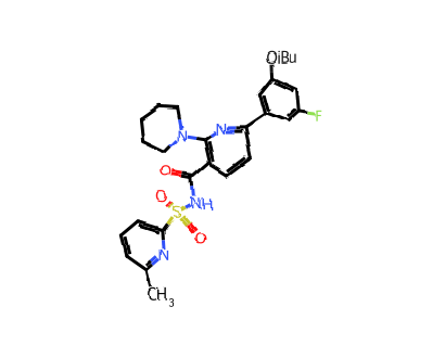 Cc1cccc(S(=O)(=O)NC(=O)c2ccc(-c3cc(F)cc(OCC(C)C)c3)nc2N2CCCCC2)n1